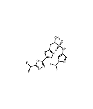 CC(Cc1ncc(-c2nnc(C(F)F)o2)s1)S(=O)(=O)Nc1cnn(C(F)F)c1